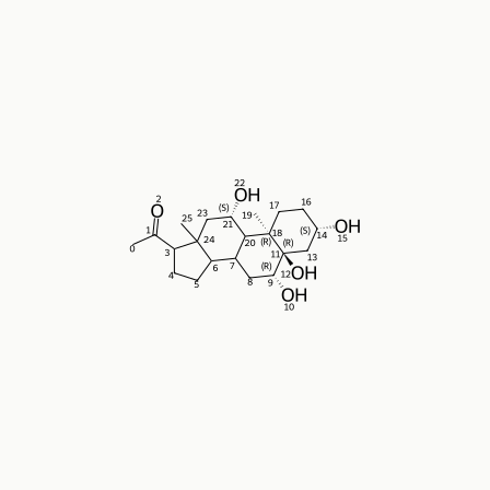 CC(=O)C1CCC2C3C[C@@H](O)[C@@]4(O)C[C@@H](O)CC[C@]4(C)C3[C@@H](O)CC12C